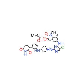 CNC(=O)COc1cc2cc(Nc3nc(NC[C@H]4CC[C@H](Nc5cccc(C6CCC(=O)NC6=O)c5)CC4)ncc3Cl)ccc2n(C)c1=O